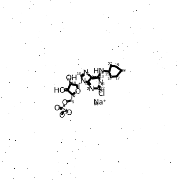 O=S(=O)([O-])OC[C@H]1O[C@@H](n2cnc3c(NC4CCCCC4)nc(Cl)nc32)[C@H](O)[C@H]1O.[Na+]